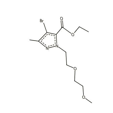 CCOC(=O)c1c(Br)c(C)nn1CCOCCOC